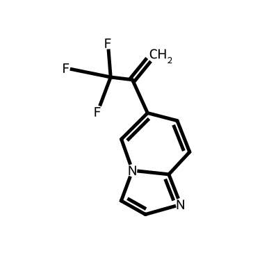 C=C(c1ccc2nccn2c1)C(F)(F)F